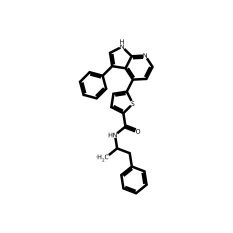 [CH2]C(Cc1ccccc1)NC(=O)c1ccc(-c2ccnc3[nH]cc(-c4ccccc4)c23)s1